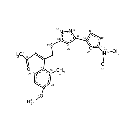 COc1ccc(/C(=C\C(C)=O)CSc2nnc(-c3ccc([NH+]([O-])O)o3)s2)c(C)c1